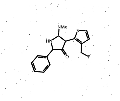 CNC1NC(c2ccccc2)C(=O)C1c1sccc1CF